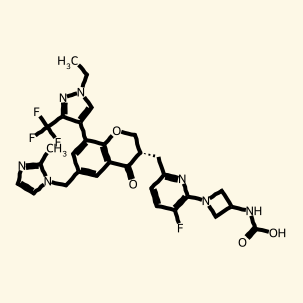 CCn1cc(-c2cc(Cn3ccnc3C)cc3c2OC[C@H](Cc2ccc(F)c(N4CC(NC(=O)O)C4)n2)C3=O)c(C(F)(F)F)n1